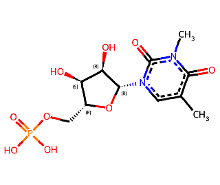 Cc1cn([C@@H]2O[C@H](COP(=O)(O)O)[C@@H](O)[C@H]2O)c(=O)n(C)c1=O